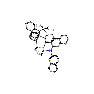 CC1(C)c2cccc(-c3c(-c4ccccc4)cccc3N(c3ccc4ccccc4c3)c3ccc4ccccc4c3)c2-c2ccc3ccccc3c21